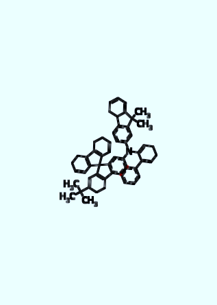 CC(C)(C)C1=CC2=C(CC1)c1ccc(N(C3=CCCC=C3c3ccccc3)c3ccc4c(c3)C(C)(C)C3=CC=CCC34)cc1C21C2=C(CCC=C2)C2=C1C=CCC2